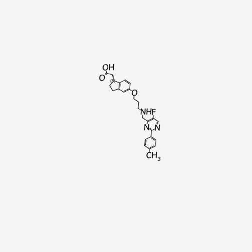 Cc1ccc(-c2ncc(F)c(CNCCCOc3ccc4c(c3)CC[C@H]4CC(=O)O)n2)cc1